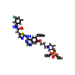 COc1cc2c(Nc3ncc(CC(=O)Nc4cccc(F)c4)s3)ncnc2cc1OCCCN1CCC(OP(=O)(OC(C)(C)C)OC(C)(C)C)C1